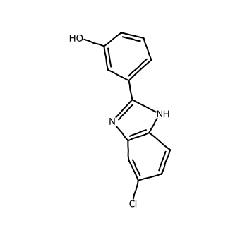 Oc1cccc(-c2nc3cc(Cl)ccc3[nH]2)c1